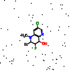 CCC1C(F)C(O)c2ncc(Cl)cc2N1C